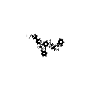 Cn1cc(-c2ccc(N(C(=O)NCc3ccccc3)C3CCC(Nc4ncc(C#N)c(NCC5(O)CCCCC5)n4)CC3)nc2)cn1